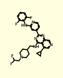 Fc1cccc(F)c1Nc1cc(-c2nc(NCC3CCN(CC(F)F)CC3)c3c(C4CC4)cncc3n2)ccn1